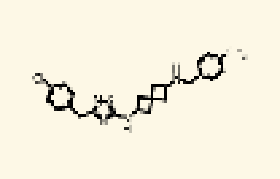 FC(F)(F)c1ccc(CNC2CC3(C2)CC(Nc2nc(Cc4ccc(Cl)cc4)ns2)C3)cc1